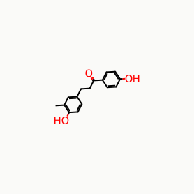 Cc1cc(CCC(=O)c2ccc(O)cc2)ccc1O